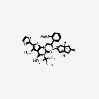 COc1ccccc1C(Cn1c(=O)n(C(C)(C)C(=O)O)c(=O)c2c(C)c(-c3ncco3)sc21)O[C@H]1C[C@H]2CC(F)C[C@H]2C1